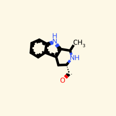 CC1N[C@H]([C]=O)Cc2c1[nH]c1ccccc21